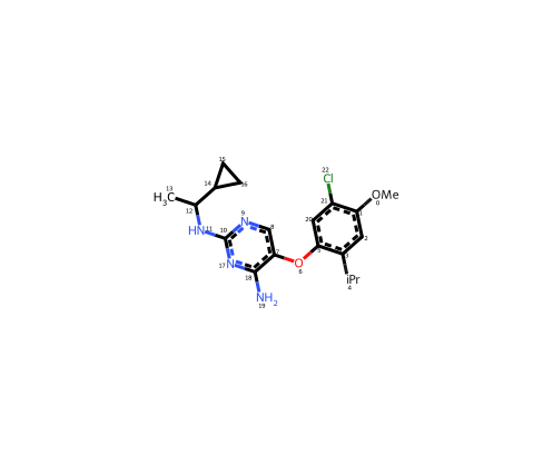 COc1cc(C(C)C)c(Oc2cnc(NC(C)C3CC3)nc2N)cc1Cl